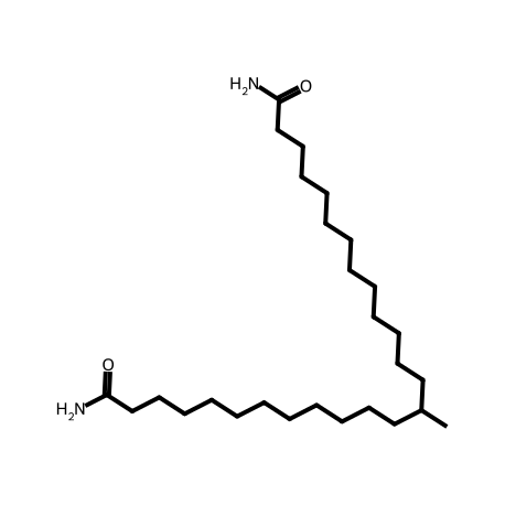 CC(CCCCCCCCCCCCC(N)=O)CCCCCCCCCCCC(N)=O